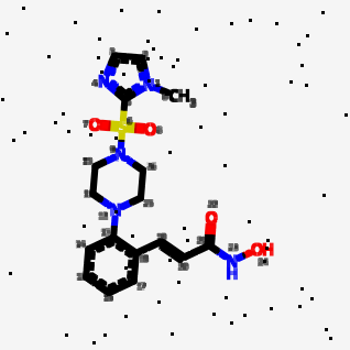 Cn1ccnc1S(=O)(=O)N1CCN(c2ccccc2C=CC(=O)NO)CC1